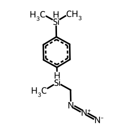 C[SiH](C)c1ccc([SiH](C)CN=[N+]=[N-])cc1